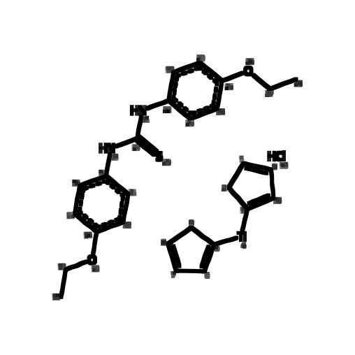 C1=CC[C]([Ti][C]2=CC=CC2)=C1.CCOc1ccc(NC(=S)Nc2ccc(OCC)cc2)cc1.Cl